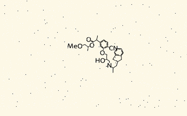 COCC(C)OC(=O)C(C)c1ccc(C#N)c(OCC(O)CN(C)C(C)CC2Cc3ccccc3C2)c1